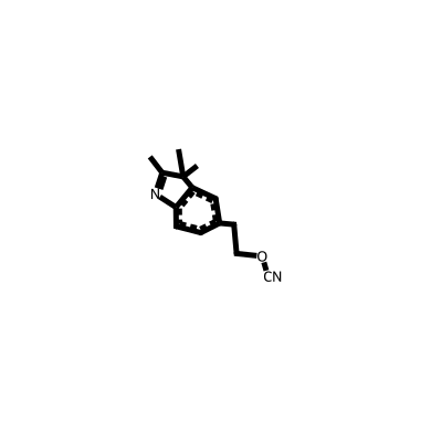 CC1=Nc2ccc(CCOC#N)cc2C1(C)C